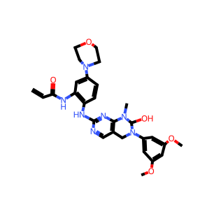 C=CC(=O)Nc1cc(N2CCOCC2)ccc1Nc1ncc2c(n1)N(C)C(O)N(c1cc(OC)cc(OC)c1)C2